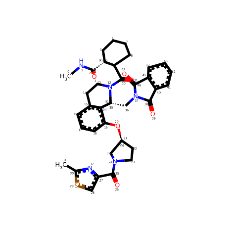 CNC(=O)[C@@H]1CCCCC1C(=O)N1CCc2cccc(O[C@H]3CCN(C(=O)c4csc(C)n4)C3)c2[C@H]1CN1C(=O)c2ccccc2C1=O